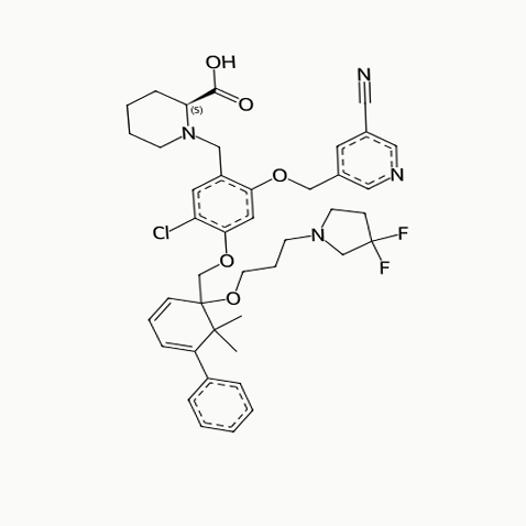 CC1(C)C(c2ccccc2)=CC=CC1(COc1cc(OCc2cncc(C#N)c2)c(CN2CCCC[C@H]2C(=O)O)cc1Cl)OCCCN1CCC(F)(F)C1